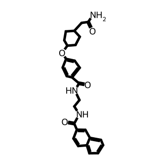 NC(=O)CC1CCC(Oc2ccc(C(=O)NCCNC(=O)c3ccc4ccccc4c3)cc2)CC1